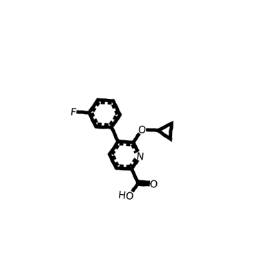 O=C(O)c1ccc(-c2cccc(F)c2)c(OC2CC2)n1